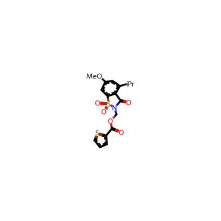 COc1cc(C(C)C)c2c(c1)S(=O)(=O)N(COC(=O)c1cccs1)C2=O